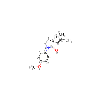 COc1ccc(N2CCC(C)(C=C(C)C)C2=O)cc1